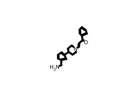 NCc1cccc(C2CCN(/C=C/C(=O)c3ccccc3)CC2)c1